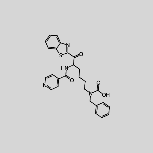 O=C(NC(CCCCN(Cc1ccccc1)C(=O)O)C(=O)c1nc2ccccc2s1)c1ccncc1